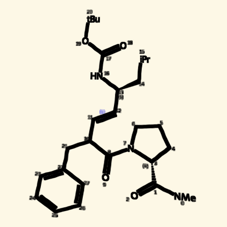 CNC(=O)[C@H]1CCCN1C(=O)C(/C=C/[C@H](CC(C)C)NC(=O)OC(C)(C)C)Cc1ccccc1